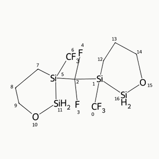 FC(F)(F)[Si]1(C(F)(F)[Si]2(C(F)(F)F)CCCO[SiH2]2)CCCO[SiH2]1